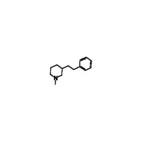 CN1CCCC(CCc2ccccc2)C1